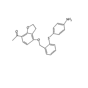 CC(=O)c1ccc(OCc2ccccc2Sc2ccc(N)cc2)c2c1OCC2